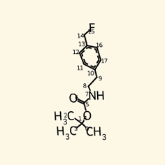 CC(C)(C)OC(=O)NCCc1ccc(CF)cc1